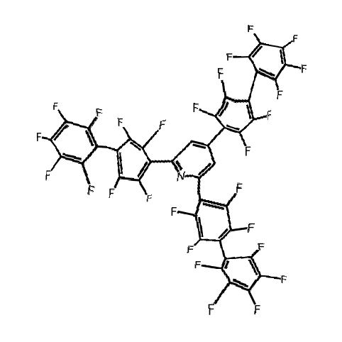 Fc1c(F)c(F)c(-c2c(F)c(F)c(-c3cc(-c4c(F)c(F)c(-c5c(F)c(F)c(F)c(F)c5F)c(F)c4F)nc(-c4c(F)c(F)c(-c5c(F)c(F)c(F)c(F)c5F)c(F)c4F)c3)c(F)c2F)c(F)c1F